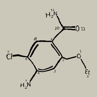 CCOc1cc(N)c(Cl)cc1C(N)=O